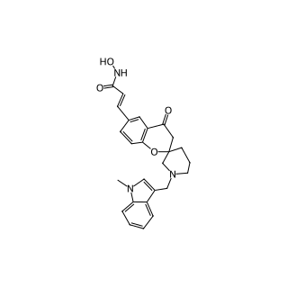 Cn1cc(CN2CCCC3(CC(=O)c4cc(C=CC(=O)NO)ccc4O3)C2)c2ccccc21